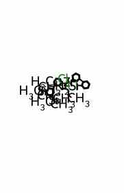 CCCC1=Cc2c(ccc(C)c2-c2cc([Si](C)(C)C)cc([Si](C)(C)C)c2)[CH]1[Zr]([Cl])([Cl])[c]1cccc2c1[SiH2]c1ccccc1-2